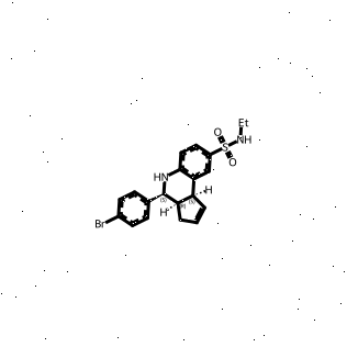 CCNS(=O)(=O)c1ccc2c(c1)[C@H]1C=CC[C@H]1[C@@H](c1ccc(Br)cc1)N2